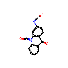 O=C=Nc1ccc(C(=O)c2ccccc2)c(N=C=O)c1